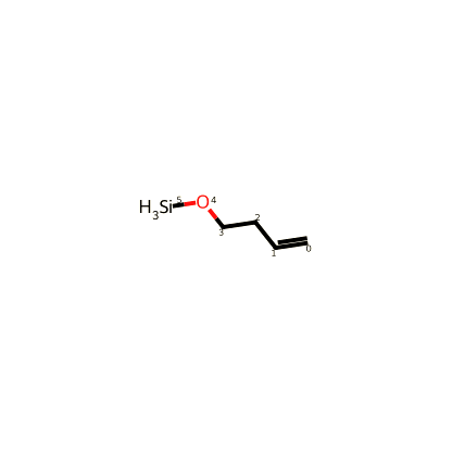 C=CCCO[SiH3]